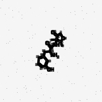 CC1OCC(=O)C1(C)NC(=O)C(N)Cc1cccc(O)c1